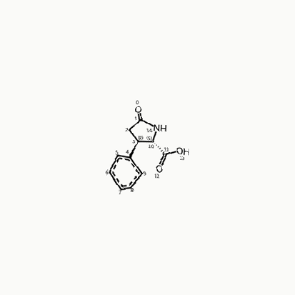 O=C1C[C@H](c2ccccc2)[C@@H](C(=O)O)N1